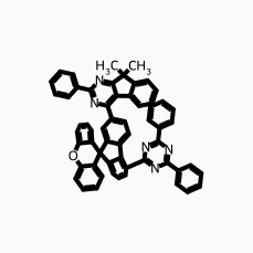 CC1(C)c2ccccc2-c2c(-c3ccc4c(c3)C3(c5ccccc5Oc5ccccc53)c3cccc(-c5nc(-c6ccccc6)nc(-c6ccccc6)n5)c3-4)nc(-c3ccccc3)nc21